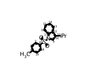 Cc1ccc(S(=O)(=O)n2cc(C(C)C)c3ccccc32)cc1